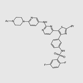 CC(=O)N1CCN(c2ccc(Nc3nccc(-c4sc(C(C)C)nc4-c4cccc(NS(=O)(=O)c5cc(F)ccc5F)c4)n3)cn2)CC1